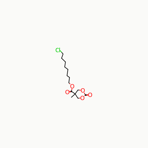 CC1(C(=O)OCCCCCCCCCl)COC(=O)OC1